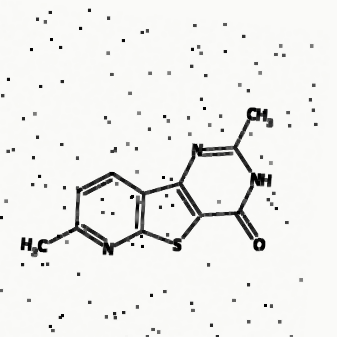 Cc1ccc2c(n1)sc1c(=O)[nH]c(C)nc12